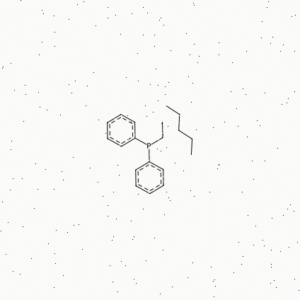 CCCCC.CCP(c1ccccc1)c1ccccc1